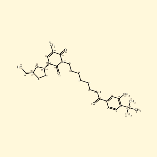 C[N+](C)(C)c1ccc(C(=O)NCCCCCCn2c(=O)c(C(F)(F)F)cn([C@H]3CC[C@@H](CO)O3)c2=O)cc1N